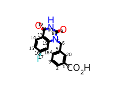 O=C(O)c1cccc(Cn2c(=O)[nH]c(=O)c3ccc(F)cc32)c1